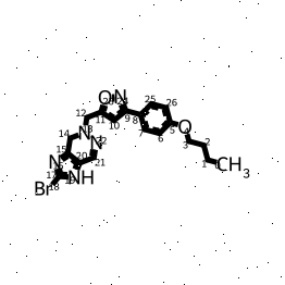 CCCCOc1ccc(-c2cc(CN3Cc4nc(Br)[nH]c4C=N3)on2)cc1